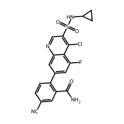 N#Cc1ccc(-c2cc(F)c3c(Cl)c(S(=O)(=O)NC4CC4)cnc3c2)c(C(N)=O)c1